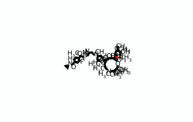 CC[C@H]1OC(=O)[C@H](C)[C@@H](O[C@H]2C[C@@](C)(OC)[C@@H](O)[C@H](C)O2)[C@H](C)[C@@H](O[C@H]2C[C@@H](N(C)CCc3cn([C@H](CF)[C@H](OC)c4ccc(C(=O)NC5CC5)cc4)nn3)C[C@@H](C)O2)[C@](C)(O)C[C@@H](C)CN(C)[C@H](C)[C@@H](O)[C@]1(C)O